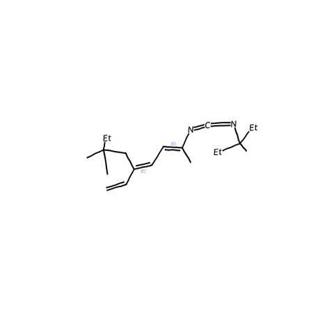 C=C/C(=C/C=C(\C)N=C=NC(C)(CC)CC)CC(C)(C)CC